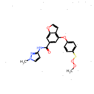 COOSc1ccc(Oc2cc(C(=O)Nc3ccn(C)n3)cc3occc23)cc1